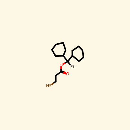 CCC(OC(=O)CCS)(C1CCCCC1)C1CCCCC1